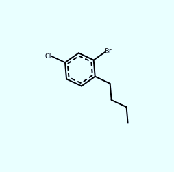 CCCCc1ccc(Cl)cc1Br